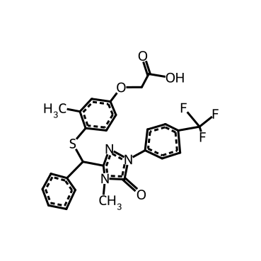 Cc1cc(OCC(=O)O)ccc1SC(c1ccccc1)c1nn(-c2ccc(C(F)(F)F)cc2)c(=O)n1C